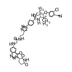 CC1(C)C(NC(=O)c2ccc(-n3cc(CCNC(=O)CNc4ccc5nnn(C6CCC(=O)NC6=O)c(=O)c5c4)nn3)cc2)C(C)(C)C1Oc1ccc(C#N)c(Cl)c1